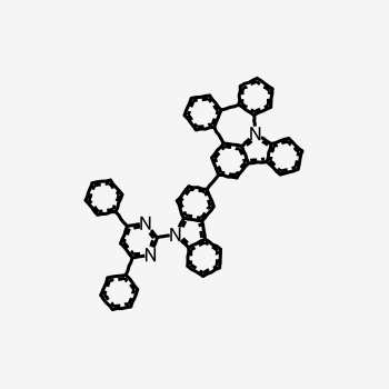 c1ccc(-c2cc(-c3ccccc3)nc(-n3c4ccccc4c4cc(-c5cc6c7c(c5)c5ccccc5n7-c5ccccc5-c5ccccc5-6)ccc43)n2)cc1